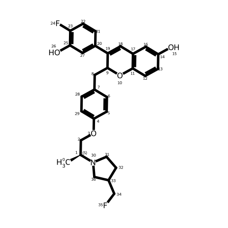 C[C@@H](COc1ccc(CC2Oc3ccc(O)cc3C=C2c2ccc(F)c(O)c2)cc1)N1CCC(CF)C1